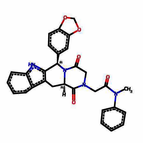 CN(C(=O)CN1CC(=O)N2[C@H](c3ccc4c(c3)OCO4)c3[nH]c4ccccc4c3C[C@@H]2C1=O)c1ccccc1